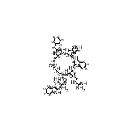 N=C(N)NCCC[C@@H]1NC(=O)[C@@H](Cc2ccccc2)NC(=O)[C@H](Cc2c[nH]cn2)NC(=O)[C@@H](NC(=O)Cc2ccccc2)CCC(=O)NCC[C@@H](C(=O)N[C@@H](Cc2c[nH]c3ccccc23)C(N)=O)NC1=O